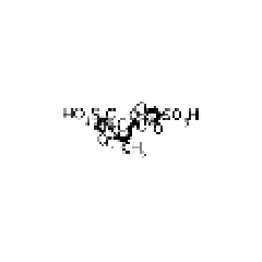 CC(CC(C)C(=O)ON1C(=O)CC(S(=O)(=O)O)C1=O)C(=O)ON1C(=O)CC(S(=O)(=O)O)C1=O